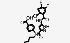 CCCCN(C(=O)c1cc(NC(=O)c2cc(F)c(F)cc2Cl)[nH]n1)c1ccc(C(=O)O)cc1